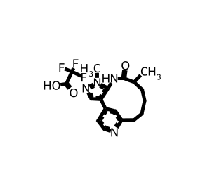 CC1CCCCc2cc(ccn2)-c2cnn(C)c2NC1=O.O=C(O)C(F)(F)F